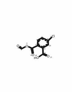 O=COC(=O)c1ccc(Cl)cc1C(=O)O